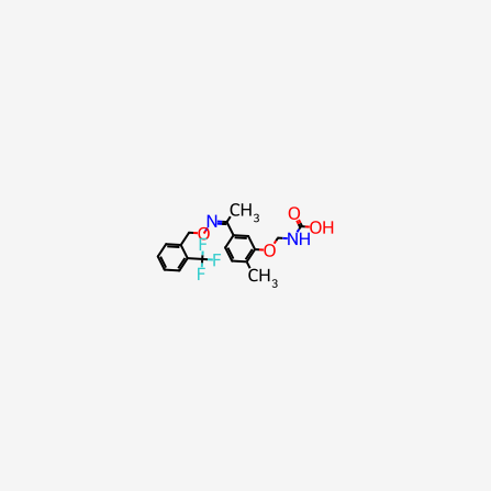 CC(=NOCc1ccccc1C(F)(F)F)c1ccc(C)c(OCNC(=O)O)c1